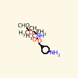 CC(C)(COC(C)(C)CC=O)NC(=O)OCC1C2CC/C=C(/N)CCC21